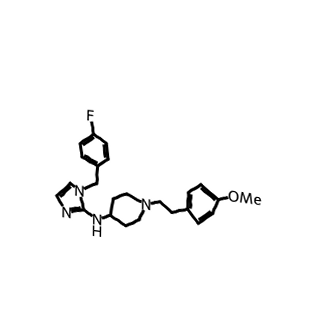 COc1ccc(CCN2CCC(Nc3nccn3Cc3ccc(F)cc3)CC2)cc1